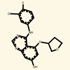 Oc1cc(OC2CCOC2)c2c(Nc3ccc(F)c(Cl)c3)ncnc2c1